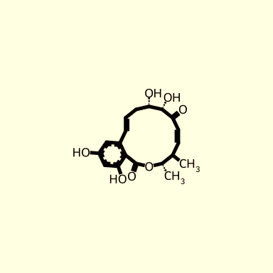 CC1/C=C\C(=O)[C@@H](O)[C@@H](O)C/C=C/c2cc(O)cc(O)c2C(=O)O[C@H]1C